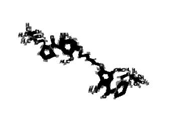 COc1cc(C(=O)N2CCC[C@H]2CO[Si](C)(C)C(C)(C)C)c(N)cc1OCCCCCOc1cc(N)c(C(=O)N2CCC[C@H]2CO[Si](C)(C)C(C)(C)C)cc1OC